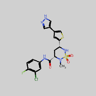 CN1[C@H](C(=O)Nc2ccc(F)c(Cl)c2)C[C@H](c2cc(-c3cn[nH]c3)cs2)NS1(=O)=O